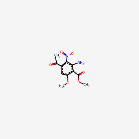 COC(=O)c1c(OC)cc(C(C)=O)c([N+](=O)[O-])c1N